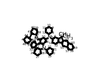 CC1(C)c2cc(N(c3ccccc3)c3cc(N(c4ccccc4)c4ccccc4)c4c5ccccc5n(-c5ccccc5-c5ccccc5)c4c3)ccc2-c2cc3ccccc3cc21